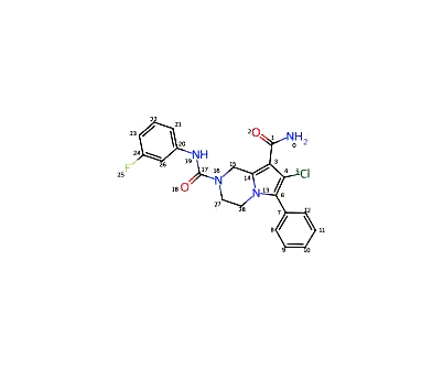 NC(=O)c1c(Cl)c(-c2ccccc2)n2c1CN(C(=O)Nc1cccc(F)c1)CC2